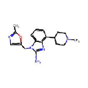 Cc1ncc(Cn2c(N)nc3c(C4CCN(C)CC4)cccc32)o1